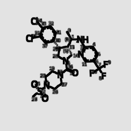 C[C@@H](Nc1ccc(C(F)(F)F)cn1)[C@@H]1CN(C(=O)N2CCN(S(C)(=O)=O)CC2)C[C@@H]1c1ccc(Cl)c(Cl)c1